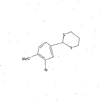 COc1ccc(C2SCCCS2)cc1Br